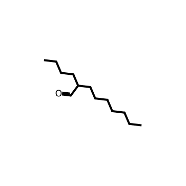 CCCCCCCC(C=O)CCCC